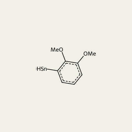 COc1ccc[c]([SnH])c1OC